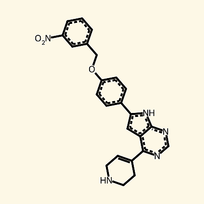 O=[N+]([O-])c1cccc(COc2ccc(-c3cc4c(C5=CCNCC5)ncnc4[nH]3)cc2)c1